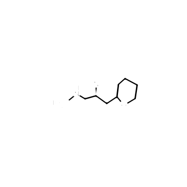 N[C@H](CNC(=O)O)CC1CCCCO1